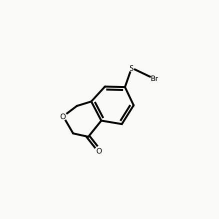 O=C1COCc2cc(SBr)ccc21